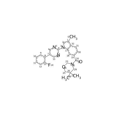 Cc1cn(-c2ncc(-c3ccccc3F)cn2)c2cc(C(=O)N3COCC(C)(C)C3)ccc12